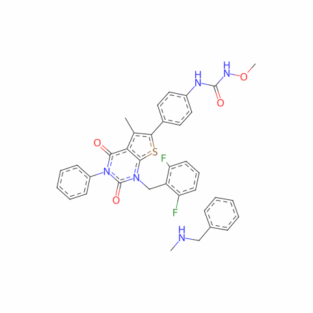 CNCc1ccccc1.CONC(=O)Nc1ccc(-c2sc3c(c2C)c(=O)n(-c2ccccc2)c(=O)n3Cc2c(F)cccc2F)cc1